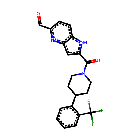 O=Cc1ccc2[nH]c(C(=O)N3CCC(c4ccccc4C(F)(F)F)CC3)cc2n1